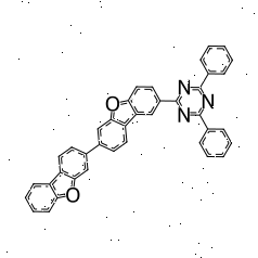 c1ccc(-c2nc(-c3ccccc3)nc(-c3ccc4oc5cc(-c6ccc7c(c6)oc6ccccc67)ccc5c4c3)n2)cc1